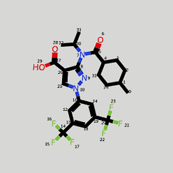 CC1CCC(C(=O)N(c2nn(-c3cc(C(F)(F)F)cc(C(F)(F)F)c3)cc2C(=O)O)C(C)C)CC1